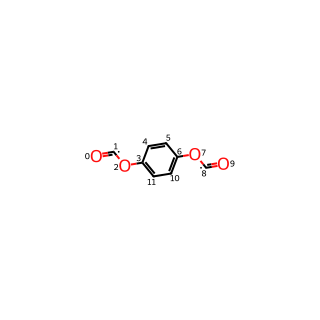 O=[C]Oc1ccc(O[C]=O)cc1